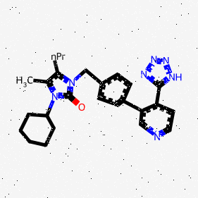 CCCc1c(C)n(C2CCCCC2)c(=O)n1Cc1ccc(-c2cnccc2-c2nnn[nH]2)cc1